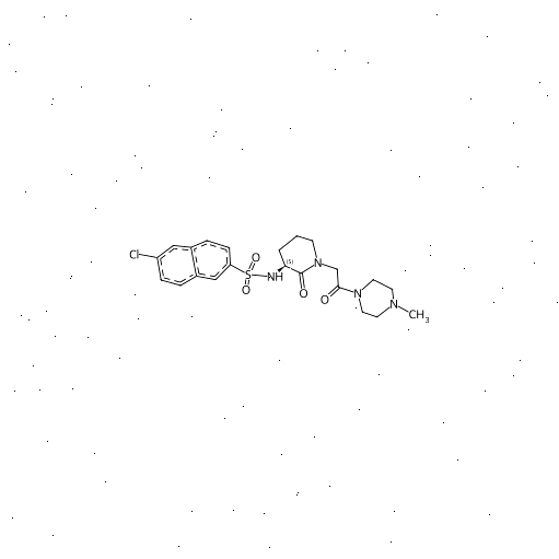 CN1CCN(C(=O)CN2CCC[C@H](NS(=O)(=O)c3ccc4cc(Cl)ccc4c3)C2=O)CC1